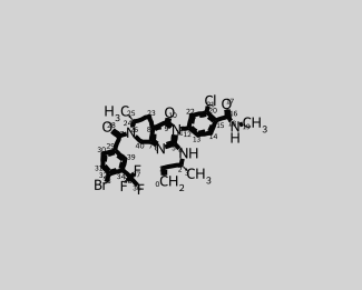 C=C[C@@H](C)Nc1nc2c(c(=O)n1-c1ccc(C(=O)NC)c(Cl)c1)C[C@@H](C)N(C(=O)c1ccc(Br)c(C(F)(F)F)c1)C2